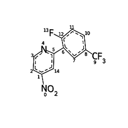 O=[N+]([O-])c1ccnc(-c2cc(C(F)(F)F)ccc2F)c1